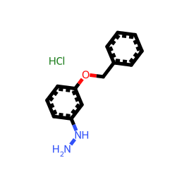 Cl.NNc1cccc(OCc2ccccc2)c1